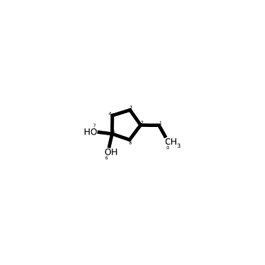 CCC1CCC(O)(O)C1